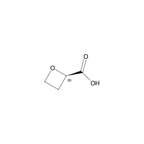 O=C(O)[C@H]1CCO1